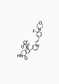 O=C1NCCc2c1cc(-c1ccnc(C=Cc3ccc(N4CCOCC4)c(F)c3)c1)n2OC(=O)C(F)(F)F